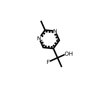 Cc1ncc(C(C)(O)F)cn1